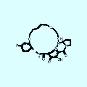 O=C1NCc2ccc(F)cc2OCC/C=C/CCCCCN2[C@H]3CCCN3C(=O)c3c(O)c(=O)c1cn32